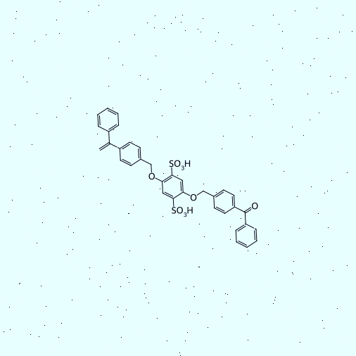 C=C(c1ccccc1)c1ccc(COc2cc(S(=O)(=O)O)c(OCc3ccc(C(=O)c4ccccc4)cc3)cc2S(=O)(=O)O)cc1